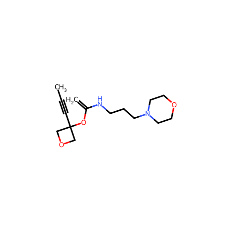 C=C(NCCCN1CCOCC1)OC1(C#CC)COC1